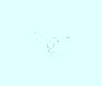 C=CC(=O)N1C[C@H](C)N(c2nc(=O)n3c4nc(c(F)cc24)-n2nncc2CCCCc2ccnc(C(C)C)c2-3)C[C@H]1C